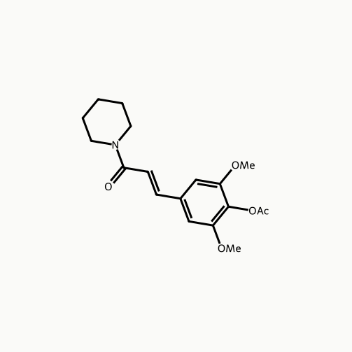 COc1cc(/C=C/C(=O)N2CCCCC2)cc(OC)c1OC(C)=O